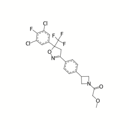 COCC(=O)N1CC(c2ccc(C3=NOC(c4cc(Cl)c(F)c(Cl)c4)(C(F)(F)F)C3)cc2)C1